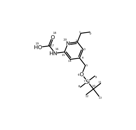 CCc1cc(CO[Si](C)(C)C(C)(C)C)cc(NC(=O)O)n1